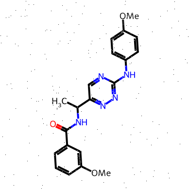 COc1ccc(Nc2ncc(C(C)NC(=O)c3cccc(OC)c3)nn2)cc1